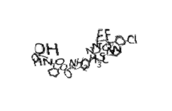 Cc1ccn(-c2cc(Cl)ccc2[C@@H](Oc2ncnc3c(-c4ccc(C[C@H](N)C(=O)Oc5ccccc5C(=O)NCC(=O)O)cc4)csc23)C(F)(F)F)n1